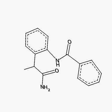 CC(C(N)=O)c1ccccc1NC(=O)c1ccccc1